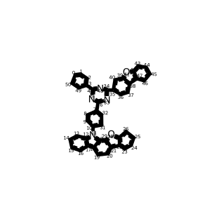 c1ccc(-c2nc(-c3ccc(-n4c5ccccc5c5ccc6c7ccccc7oc6c54)cc3)nc(-c3ccc4c(c3)oc3ccccc34)n2)cc1